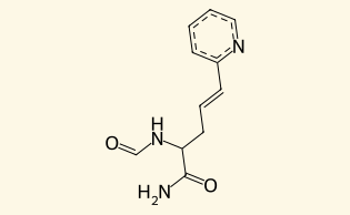 NC(=O)C(CC=Cc1ccccn1)NC=O